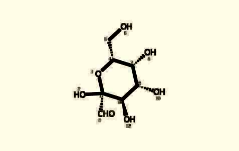 O=C[C@]1(O)O[C@H](CO)[C@H](O)[C@H](O)[C@H]1O